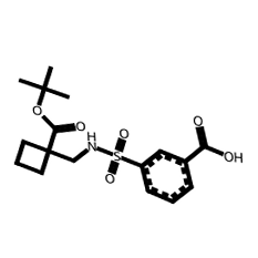 CC(C)(C)OC(=O)C1(CNS(=O)(=O)c2cccc(C(=O)O)c2)CCC1